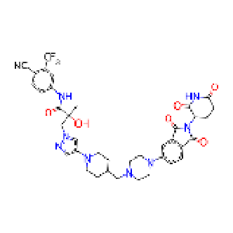 CC(O)(Cn1cc(N2CCC(CN3CCN(c4ccc5c(c4)C(=O)N(C4CCC(=O)NC4=O)C5=O)CC3)CC2)cn1)C(=O)Nc1ccc(C#N)c(C(F)(F)F)c1